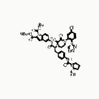 CC(C)(C)OC(=O)c1cc2cc(NC(=O)C(Cc3ccc(NC(=O)N4CCC[C@@H]4CO)cc3)N3CCN(c4cc(Cl)ccc4-n4cnnn4)C(=O)C3=O)ccc2n1C(=O)OC(C)(C)C